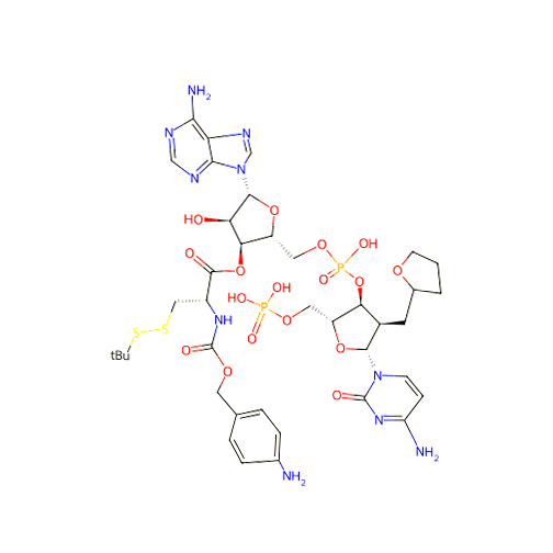 CC(C)(C)SSC[C@@H](NC(=O)OCc1ccc(N)cc1)C(=O)O[C@H]1[C@@H](O)[C@H](n2cnc3c(N)ncnc32)O[C@@H]1COP(=O)(O)O[C@H]1[C@@H](CC2CCCO2)[C@H](n2ccc(N)nc2=O)O[C@@H]1COP(=O)(O)O